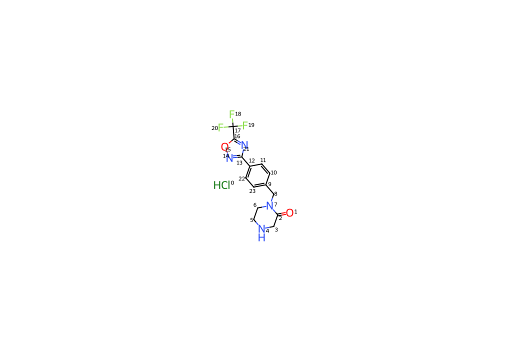 Cl.O=C1CNCCN1Cc1ccc(-c2noc(C(F)(F)F)n2)cc1